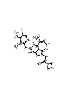 COc1c(C)cnc(Cn2nc3cc(CC(=O)N4CCC4)c4c-3c(n2)C(N)=NSC4)c1C